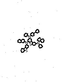 c1ccc(-c2ccc(N(c3ccccc3)c3cc(N(c4ccc5ccccc5c4)c4ccc5sc6ccccc6c5c4)c4sc5ccc(N(c6ccccc6)c6cccc7ccccc67)cc5c4c3)cc2)cc1